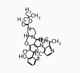 Cc1ccnc(C(C)C)c1N(C)c1nc(-c2c(O)cccc2F)c(Cl)c2c1C(=O)N1CCN(C(=O)OC(C)(C)C)C[C@@H]1CO2